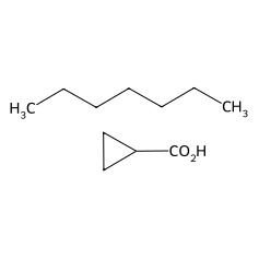 CCCCCCC.O=C(O)C1CC1